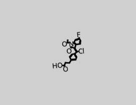 CC(=O)N1C(=O)C(=C(Cl)c2ccc(CCC(=O)O)cc2)c2ccc(F)cc21